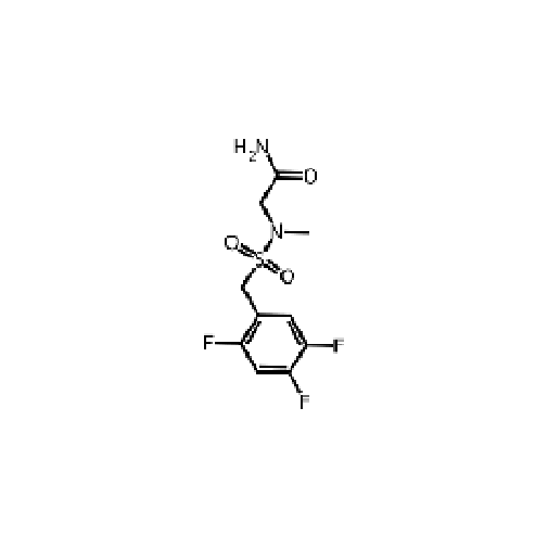 CN(CC(N)=O)S(=O)(=O)Cc1cc(F)c(F)cc1F